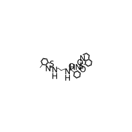 Cc1cccc2sc(NCCCNC(=O)c3ccccc3NS(=O)(=O)c3cccc4cccnc34)nc12